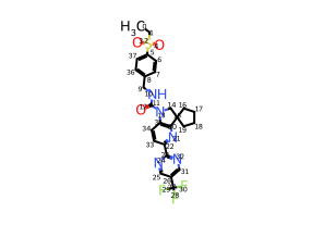 CCS(=O)(=O)c1ccc(CNC(=O)N2CC3(CCCC3)c3nc(-c4ncc(C(F)(F)F)cn4)ccc32)cc1